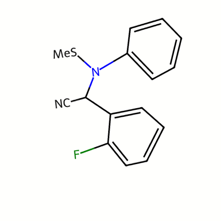 CSN(c1ccccc1)C(C#N)c1ccccc1F